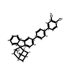 Clc1ccc(-c2ccc(-c3ccc4c(c3)-c3ccccc3C43C4CC5CC6CC3C56C4)cc2)cc1Cl